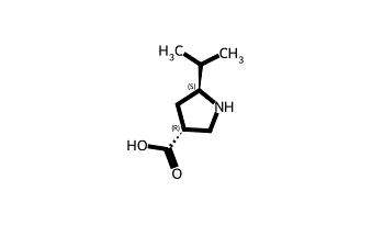 CC(C)[C@@H]1C[C@@H](C(=O)O)CN1